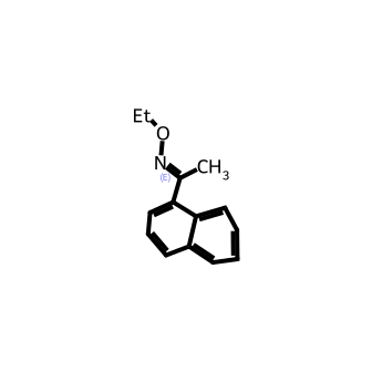 CCO/N=C(\C)c1cccc2ccccc12